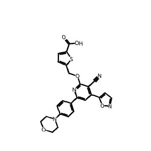 N#Cc1c(-c2ccno2)cc(-c2ccc(N3CCOCC3)cc2)nc1OCc1ccc(C(=O)O)s1